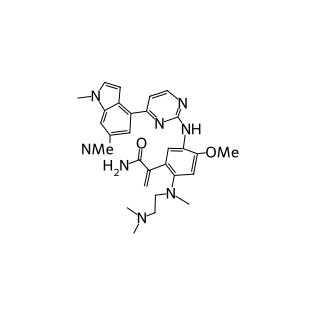 C=C(C(N)=O)c1cc(Nc2nccc(-c3cc(NC)cc4c3ccn4C)n2)c(OC)cc1N(C)CCN(C)C